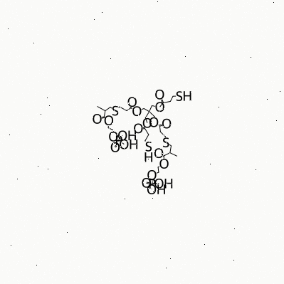 CC(CSCCC(=O)OCC(COC(=O)CCS)(COC(=O)CCS)COC(=O)CCSCC(C)C(=O)OCCOP(=O)(O)O)C(=O)OCCOP(=O)(O)O